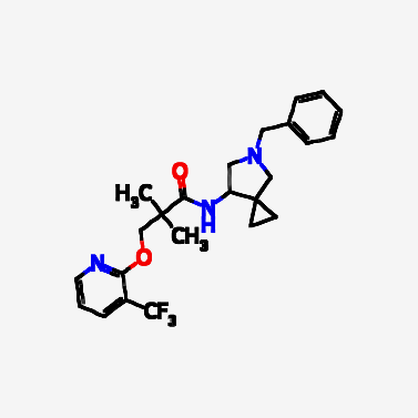 CC(C)(COc1ncccc1C(F)(F)F)C(=O)NC1CN(Cc2ccccc2)CC12CC2